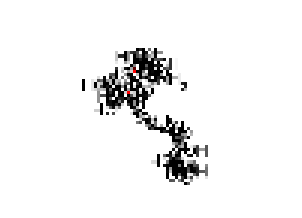 CC(=O)N(c1cc(C2c3ccc(N)c(S(=O)(=O)O)c3OC3=C(S(=O)(=O)O)C(=N)C=CC32)c(C(=O)O)cc1C)C(CCC(C)(C)SSCOCC#Cc1cn(C2CC(O)C(COP(=O)(O)OP(=O)(O)OP(=O)(O)O)O2)c(=O)nc1N)C(=O)NC(CC(=O)O)C(=O)NC(CC(=O)O)C(=O)O